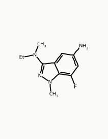 CCN(C)c1nn(C)c2c(F)cc(N)cc12